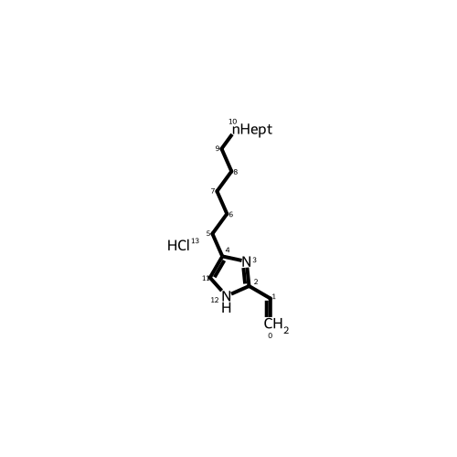 C=Cc1nc(CCCCCCCCCCCC)c[nH]1.Cl